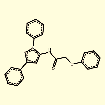 O=C(COc1ccccc1)Nc1cc(-c2ccccc2)nn1-c1ccccc1